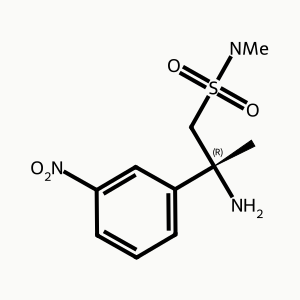 CNS(=O)(=O)C[C@](C)(N)c1cccc([N+](=O)[O-])c1